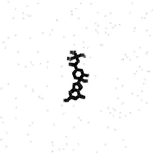 CC(C)(C)OC(=O)N1CCC(O)(c2cn3c(=O)cc(O)nc3s2)C(F)C1